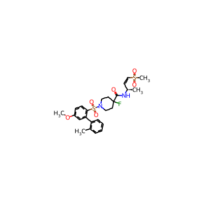 COc1ccc(S(=O)(=O)N2CCC(F)(C(=O)N[C@H](C)/C=C\S(C)(=O)=O)CC2)c(-c2ccccc2C)c1